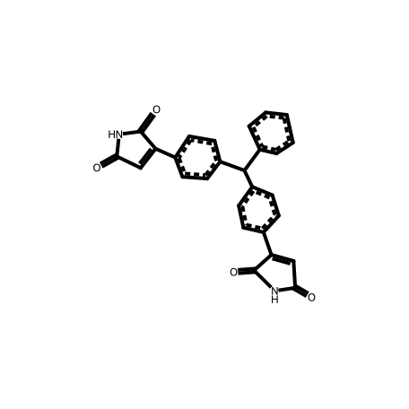 O=C1C=C(c2ccc(C(c3ccccc3)c3ccc(C4=CC(=O)NC4=O)cc3)cc2)C(=O)N1